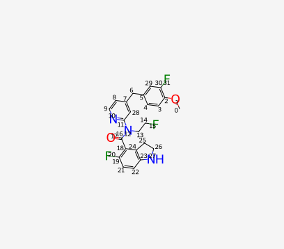 COc1ccc(Cc2ccnc(N(CCF)C(=O)c3c(F)ccc4c3CCN4)c2)cc1F